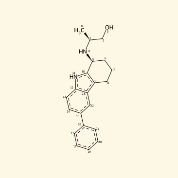 C[C@@H](CO)N[C@H]1CCCc2c1[nH]c1ccc(-c3ccccc3)cc21